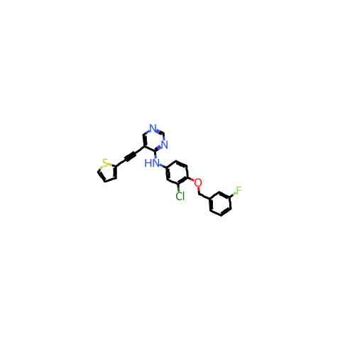 Fc1cccc(COc2ccc(Nc3ncncc3C#Cc3cccs3)cc2Cl)c1